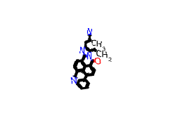 C=Cc1c(/C=C(\C)C#N)nc2c3ccc(C#N)c4c(-c5ccccc5)ccc(c(=O)n12)c43